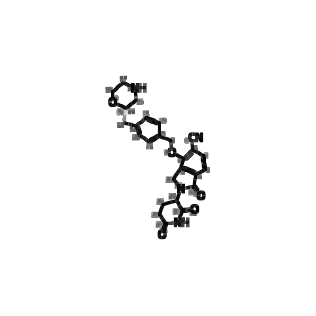 N#Cc1ccc2c(c1OCc1ccc(C[C@H]3CNCCO3)cc1)CN(C1CCC(=O)NC1=O)C2=O